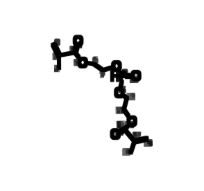 C=C(C)C(=O)OCCO[PH](=O)OCCOC(=O)C(=C)C